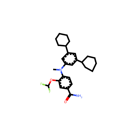 CN(c1cc(C2CCCCC2)cc(C2CCCCC2)c1)c1ccc(C(N)=O)cc1OC(F)F